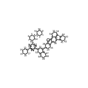 c1ccc(-c2cccc(-c3nc(-c4ccccc4)nc(-c4cc(-c5ccc6c(c5)oc5c7cccc8c7c(cc65)-c5ccccc5-8)c5ccccc5c4)n3)c2)cc1